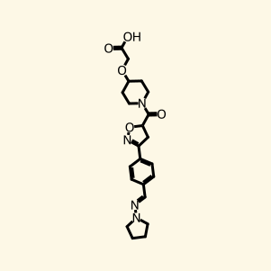 O=C(O)COC1CCN(C(=O)C2CC(c3ccc(C=NN4CCCC4)cc3)=NO2)CC1